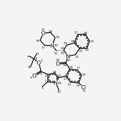 Cc1c(C(=O)OC(C)(C)C)cc(-c2cc(Cl)ccc2C(=O)N2Cc3ccccc3C[C@H]2CN2CCOCC2)n1C